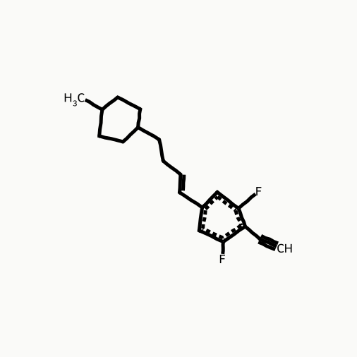 C#Cc1c(F)cc(/C=C/CCC2CCC(C)CC2)cc1F